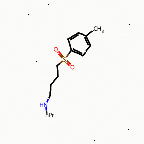 CCCNCCCCS(=O)(=O)c1ccc(C)cc1